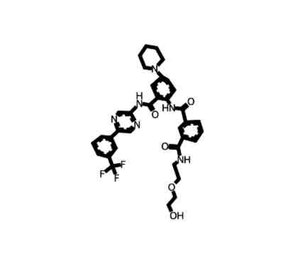 O=C(NCCOCCO)c1cccc(C(=O)Nc2ccc(N3CCCCC3)cc2C(=O)Nc2cnc(-c3cccc(C(F)(F)F)c3)cn2)c1